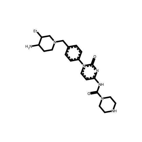 CCC1CN(Cc2ccc(-n3ccc(NC(=O)N4CCNCC4)nc3=O)cc2)CCC1N